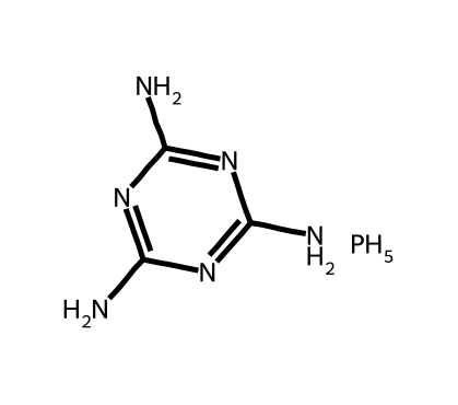 Nc1nc(N)nc(N)n1.[PH5]